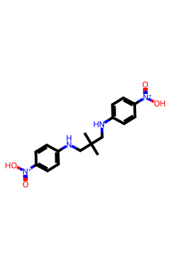 CC(C)(CNc1ccc([N+](=O)O)cc1)CNc1ccc([N+](=O)O)cc1